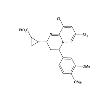 CCOC(=O)C1CC1C1CC(c2ccc(OC)c(OC)c2)N2C=C(C(F)(F)F)C=C(Cl)C2=N1